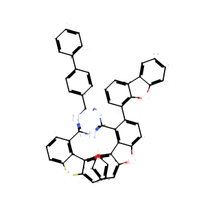 C=N/C(=N\C(=N/Cc1ccc(-c2ccccc2)cc1)c1cccc2sc3ccccc3c12)c1c(-c2cccc3c2oc2ccccc23)ccc2oc3ccccc3c12